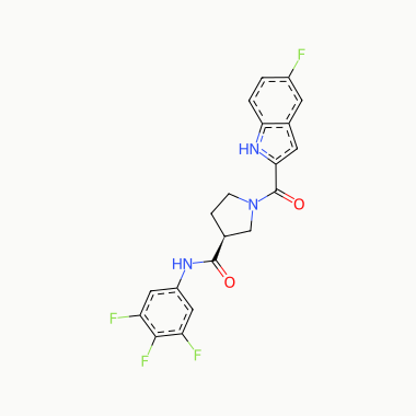 O=C(Nc1cc(F)c(F)c(F)c1)[C@H]1CCN(C(=O)c2cc3cc(F)ccc3[nH]2)C1